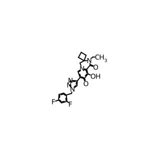 CCN1C(=O)c2c(O)c(=O)c(-c3cn(Cc4ccc(F)cc4F)nn3)cn2CC12CCC2